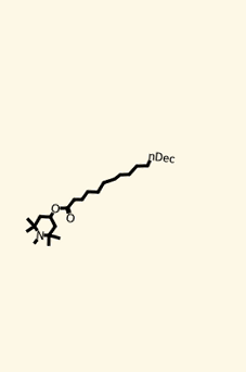 CCCCCCCCCCCCCCCCCCCCC(=O)OC1CC(C)(C)N(C)C(C)(C)C1